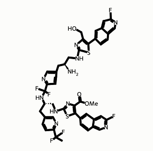 COC(=O)c1nc(NC[C@H](Cc2ccc(C(C)(F)F)nc2)NC(F)(F)c2ccc(C[C@H](N)CNc3nc(CO)c(-c4ccc5cnc(F)cc5c4)s3)cn2)sc1-c1ccc2cnc(F)cc2c1